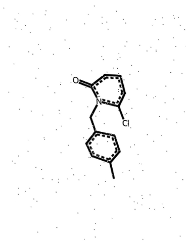 Cc1ccc(Cn2c(Cl)cccc2=O)cc1